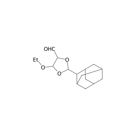 CCOC1OC(C2C3CC4CC(C3)CC2C4)OC1C=O